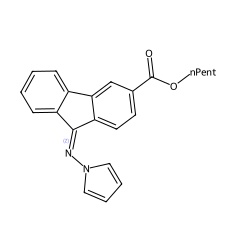 CCCCCOC(=O)c1ccc2c(c1)-c1ccccc1/C2=N/n1cccc1